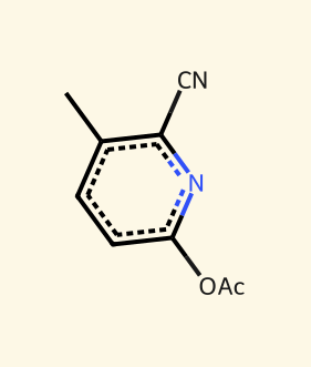 CC(=O)Oc1ccc(C)c(C#N)n1